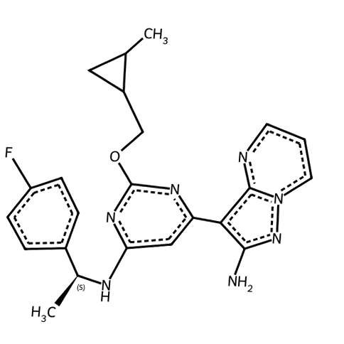 CC1CC1COc1nc(N[C@@H](C)c2ccc(F)cc2)cc(-c2c(N)nn3cccnc23)n1